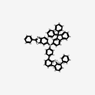 c1ccc(-c2nc3ccc(N(c4ccc(-c5cccc6c5sc5c(-c7ccccc7)cccc56)cc4)c4ccc5c(c4)C(c4ccccc4)(c4ccccc4)c4ccccc4-5)cc3o2)cc1